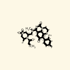 C=CC(=O)N1C(I)CS(=O)(=O)CC1CN(C)c1nc(=O)n2c3c(c(-c4ccc(F)cc4F)c(Cl)cc13)SCC2